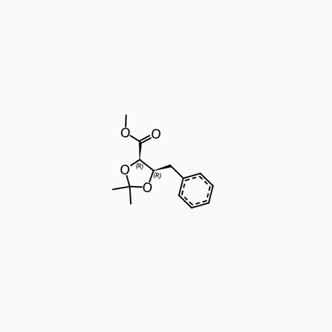 COC(=O)[C@@H]1OC(C)(C)O[C@@H]1Cc1ccccc1